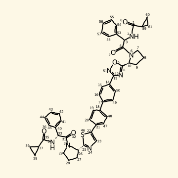 O=C(NC(C(=O)N1CCC[C@H]1c1nc(-c2ccc(-c3ccc(-c4cnc([C@@H]5CCCN5C(=O)[C@H](NC(=O)C5CC5)c5ccccc5)s4)cc3)cc2)no1)c1ccccc1)C1CC1